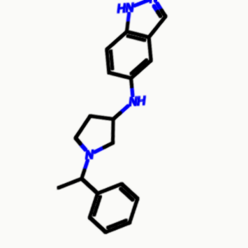 CC(c1ccccc1)N1CCC(Nc2ccc3[nH]ncc3c2)C1